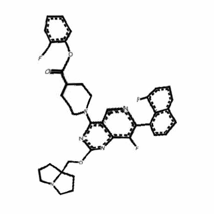 O=C(Oc1ccccc1F)C1CCN(c2nc(OCC34CCCN3CCC4)nc3c(F)c(-c4cccc5cccc(F)c45)ncc23)CC1